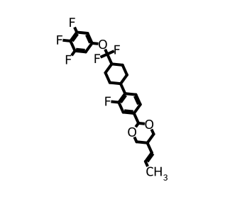 C/C=C/C1COC(c2ccc(C3CCC(C(F)(F)Oc4cc(F)c(F)c(F)c4)CC3)c(F)c2)OC1